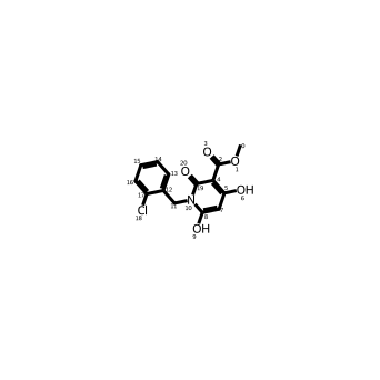 COC(=O)c1c(O)cc(O)n(Cc2ccccc2Cl)c1=O